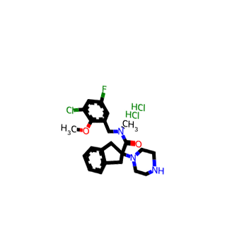 COc1c(Cl)cc(F)cc1CN(C)C(=O)C1(N2CCNCC2)Cc2ccccc2C1.Cl.Cl